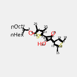 CCCCCCCCC(CCCCCC)COc1sc(C2=C(O)C(=C3C=C(C)SC(C)=C3)C2=O)c(C)c1C